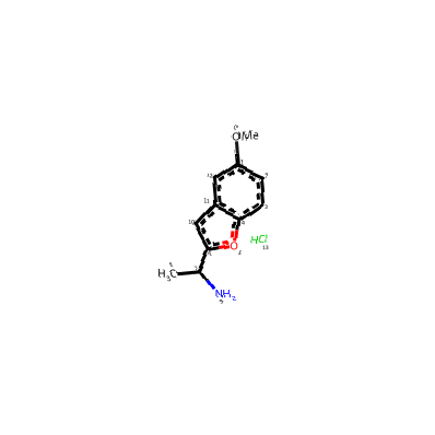 COc1ccc2oc(C(C)N)cc2c1.Cl